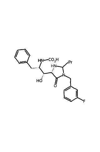 CC(C)C1N[C@@H]([C@H](O)[C@H](Cc2ccccc2)NC(=O)O)C(=O)N1Cc1cccc(F)c1